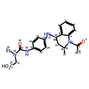 CCC(=O)N1c2ccccc2[C@H](Nc2ccc(NC(=O)N(CC)CC(=O)O)cc2)C[C@@H]1C